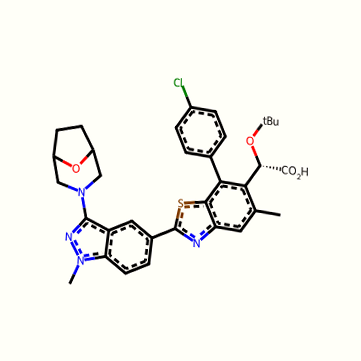 Cc1cc2nc(-c3ccc4c(c3)c(N3CC5CCC(C3)O5)nn4C)sc2c(-c2ccc(Cl)cc2)c1[C@H](OC(C)(C)C)C(=O)O